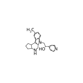 Cc1ccc2c(c1)c1c(n2CC(O)c2ccncc2)CNC2CCCC12